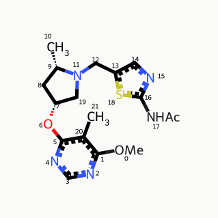 COc1ncnc(O[C@@H]2C[C@H](C)N(Cc3cnc(NC(C)=O)s3)C2)c1C